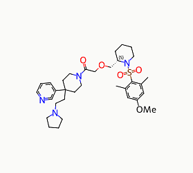 COc1cc(C)c(S(=O)(=O)N2CCCC[C@H]2COCC(=O)N2CCC(CCN3CCCC3)(c3cccnc3)CC2)c(C)c1